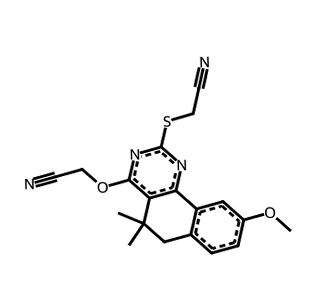 COc1ccc2c(c1)-c1nc(SCC#N)nc(OCC#N)c1C(C)(C)C2